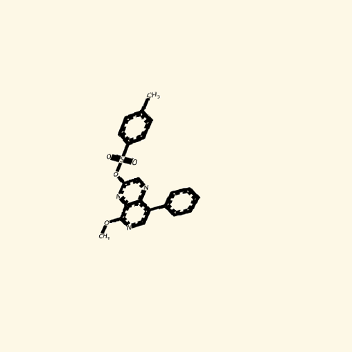 COc1ncc(-c2ccccc2)c2ncc(OS(=O)(=O)c3ccc(C)cc3)nc12